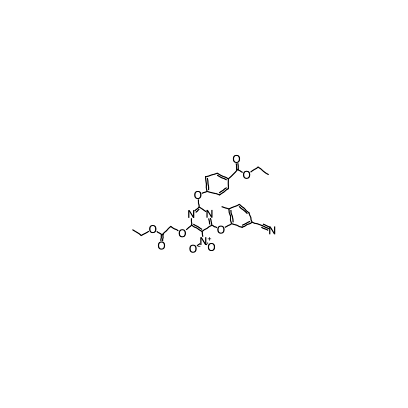 CCOC(=O)COc1nc(Oc2ccc(C(=O)OCC)cc2)nc(Oc2cc(C#N)ccc2C)c1[N+](=O)[O-]